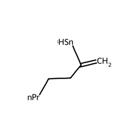 C=[C]([SnH])CCCCC